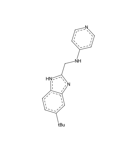 CC(C)(C)c1ccc2[nH]c(CNc3ccncc3)nc2c1